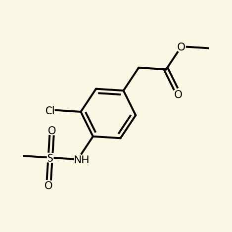 COC(=O)Cc1ccc(NS(C)(=O)=O)c(Cl)c1